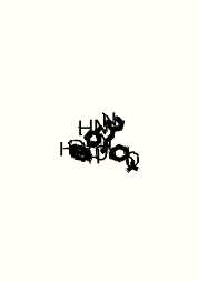 CC(C)O[C@H]1CC[C@H](C(=O)N2Cc3cccnc3Nc3ccc(N4C[C@H]5CC[C@@H]4CO5)cc32)CC1